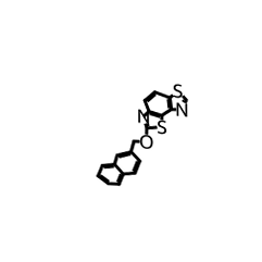 c1ccc2cc(COc3nc4ccc5scnc5c4s3)ccc2c1